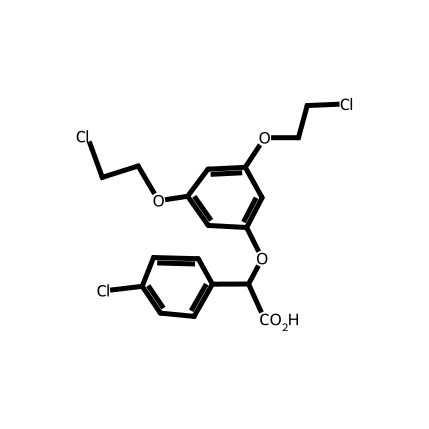 O=C(O)C(Oc1cc(OCCCl)cc(OCCCl)c1)c1ccc(Cl)cc1